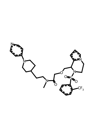 CN(CCC1CCN(c2ccncc2)CC1)C(=O)COCC1c2cccn2CCN1S(=O)(=O)c1ccccc1C(F)(F)F